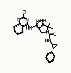 CC1(C)c2[nH]nc(Nc3nc(Cl)nc4ccccc34)c2CN1C(=O)NC1C[C@@H]1c1ccccc1